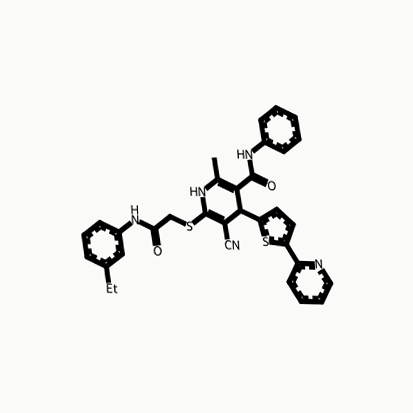 CCc1cccc(NC(=O)CSC2=C(C#N)C(c3ccc(-c4ccccn4)s3)C(C(=O)Nc3ccccc3)=C(C)N2)c1